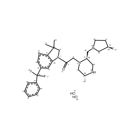 C[C@@H]1CN(CC(=O)N2CC(C)(C)c3ncc(C(F)(F)c4ccccc4)cc32)[C@@H](CN2CC[C@@H](F)C2)CN1.Cl.Cl